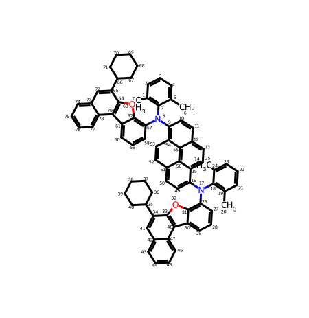 Cc1cccc(C)c1N(c1ccc2ccc3c(N(c4c(C)cccc4C)c4cccc5c4oc4c(C6CCCCC6)cc6ccccc6c45)ccc4ccc1c2c43)c1cccc2c1oc1c(C3CCCCC3)cc3ccccc3c12